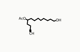 C#CCCC(CCCCCCCCO)OC(C)=O